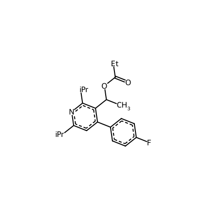 CCC(=O)OC(C)c1c(-c2ccc(F)cc2)cc(C(C)C)nc1C(C)C